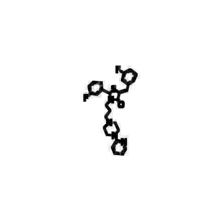 O=C1C(=Cc2cccc(F)c2)SC(c2cccc(F)c2)N1CCCN1CCN(c2ccccn2)CC1